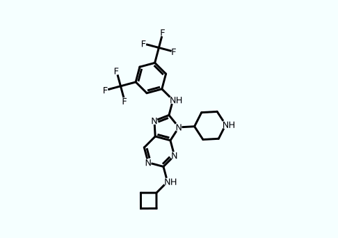 FC(F)(F)c1cc(Nc2nc3cnc(NC4CCC4)nc3n2C2CCNCC2)cc(C(F)(F)F)c1